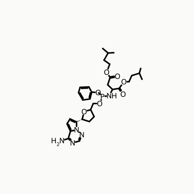 CC(C)CCOC(=O)CC(NP(OCC1CC[C@H](c2ccc3c(N)ncnn23)O1)Oc1ccccc1)C(=O)OCCC(C)C